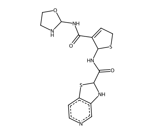 O=C(NC1NCCO1)C1=CCSC1NC(=O)C1Nc2cnccc2S1